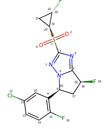 O=S(=O)(c1nc2n(n1)[C@H](c1cc(Cl)ccc1F)C[C@@H]2F)[C@H]1C[C@@H]1F